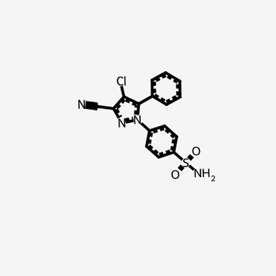 N#Cc1nn(-c2ccc(S(N)(=O)=O)cc2)c(-c2ccccc2)c1Cl